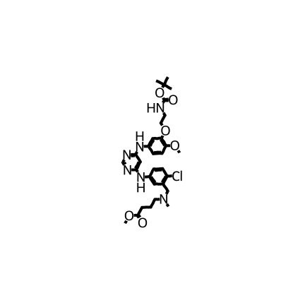 COC(=O)CCCN(C)Cc1cc(Nc2cc(Nc3ccc(OC)c(OCCNC(=O)OC(C)(C)C)c3)ncn2)ccc1Cl